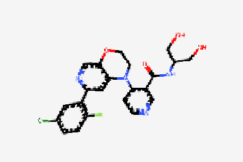 O=C(NC(CO)CO)c1cnccc1N1CCOc2cnc(-c3cc(Cl)ccc3F)cc21